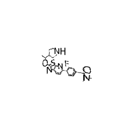 CC(Oc1nc2ccc(-c3ccc(C(=O)N(C)C)cc3F)nc2s1)C1CCNCC1